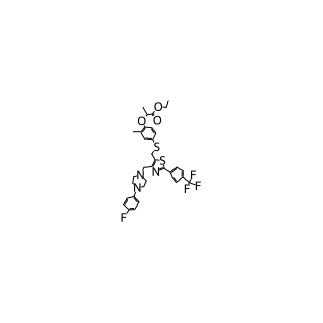 CCOC(=O)C(C)Oc1ccc(SCc2sc(-c3ccc(C(F)(F)F)cc3)nc2CN2CCN(c3ccc(F)cc3)CC2)cc1C